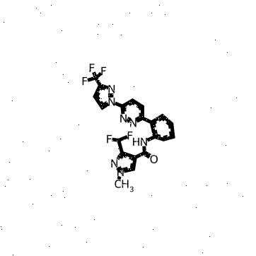 Cn1cc(C(=O)Nc2ccccc2-c2ccc(-n3ccc(C(F)(F)F)n3)nn2)c(C(F)F)n1